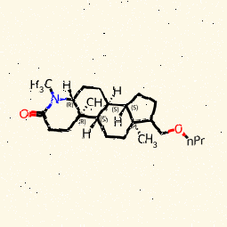 CCCOCC1CC[C@H]2[C@@H]3CC[C@H]4N(C)C(=O)CC[C@]4(C)[C@H]3CC[C@]12C